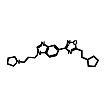 c1cc2c(cc1-c1noc(CCC3CCCC3)n1)ncn2CCCN1CCCC1